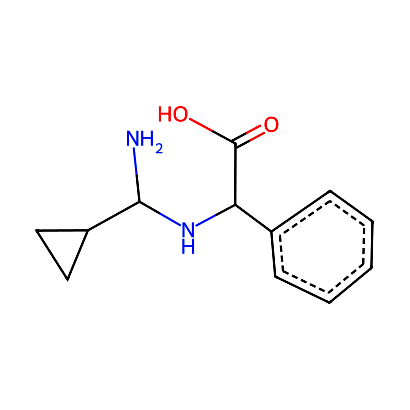 NC(NC(C(=O)O)c1ccccc1)C1CC1